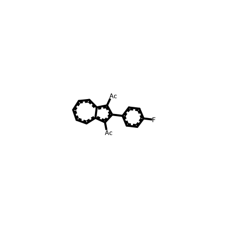 CC(=O)c1c2cccccc-2c(C(C)=O)c1-c1ccc(F)cc1